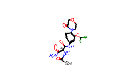 CC(C)(C)C(=O)N[C@H](C(N)=O)C(=O)Nc1ccc(N2CCOCC2=O)c(OC(F)F)c1